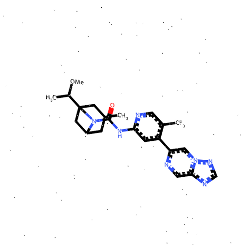 COC(C)C12CC(C)CC(C1)N2C(=O)Nc1cc(-c2cn3ncnc3cn2)c(C(F)(F)F)cn1